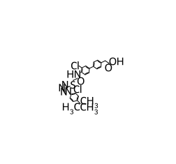 CC(C)(C)c1ccc(-n2nnnc2SCC(=O)Nc2ccc(-c3ccc(CC(=O)O)cc3)cc2Cl)c(Cl)c1